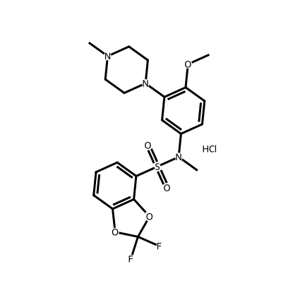 COc1ccc(N(C)S(=O)(=O)c2cccc3c2OC(F)(F)O3)cc1N1CCN(C)CC1.Cl